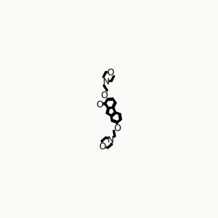 O=C1C(OCCN2CCOCC2)=CC=C2C1=Cc1cc(OCCN3CCOCC3)ccc12